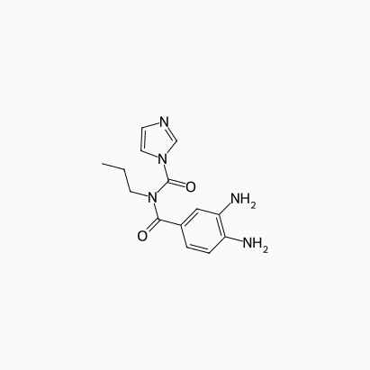 CCCN(C(=O)c1ccc(N)c(N)c1)C(=O)n1ccnc1